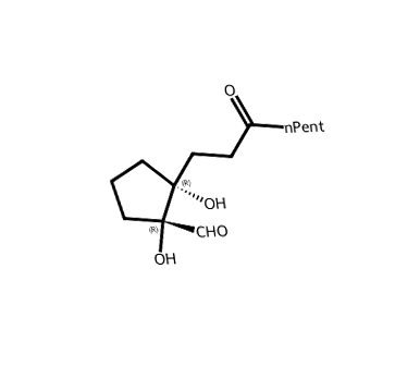 CCCCCC(=O)CC[C@]1(O)CCC[C@]1(O)C=O